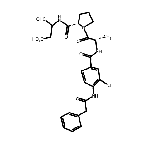 C[C@H](NC(=O)c1ccc(NC(=O)Cc2ccccc2)c(Cl)c1)C(=O)N1CCC[C@H]1C(=O)NC(C=O)CC(=O)O